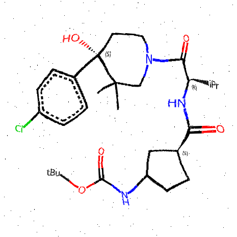 CC(C)[C@@H](NC(=O)[C@H]1CCC(NC(=O)OC(C)(C)C)C1)C(=O)N1CC[C@](O)(c2ccc(Cl)cc2)C(C)(C)C1